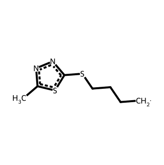 [CH2]CCCSc1nnc(C)s1